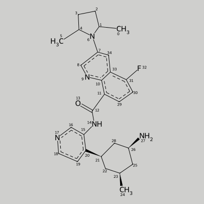 CC1CCC(C)N1c1cnc2c(C(=O)Nc3cnccc3[C@@H]3C[C@H](C)C[C@H](N)C3)ccc(F)c2c1